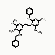 CNC1=NC(CCN2C(NC)=NC(C)N=C2Nc2ccccc2)N=C(NCc2ccccc2)N1C